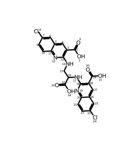 O=C(O)c1cc2cc(Cl)ccc2nc1NCC(Nc1nc2ccc(Cl)cc2cc1C(=O)O)C(=O)O